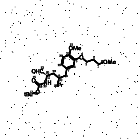 COCCCOc1cc(C[C@H](C[C@@H](C=O)NC(=O)OC(C)(C)C)C(C)C)ccc1OC